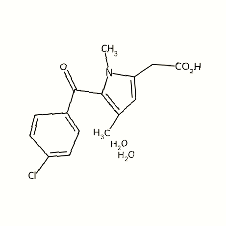 Cc1cc(CC(=O)O)n(C)c1C(=O)c1ccc(Cl)cc1.O.O